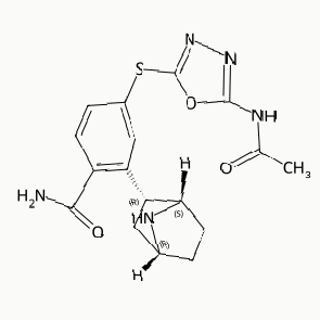 CC(=O)Nc1nnc(Sc2ccc(C(N)=O)c([C@H]3C[C@H]4CC[C@@H]3N4)c2)o1